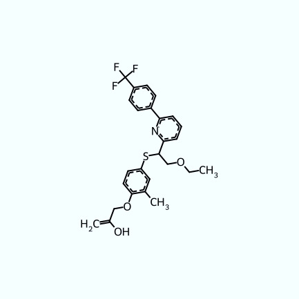 C=C(O)COc1ccc(SC(COCC)c2cccc(-c3ccc(C(F)(F)F)cc3)n2)cc1C